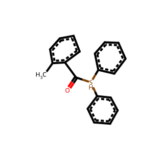 Cc1ccccc1C(=O)[SH](c1ccccc1)c1ccccc1